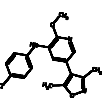 COc1ncc(-c2c(C)noc2C)cc1Nc1ccc(Cl)cc1